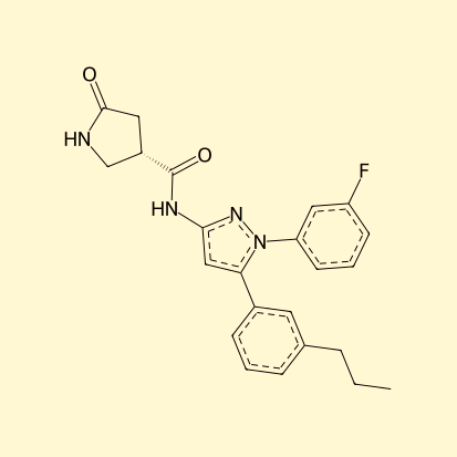 CCCc1cccc(-c2cc(NC(=O)[C@@H]3CNC(=O)C3)nn2-c2cccc(F)c2)c1